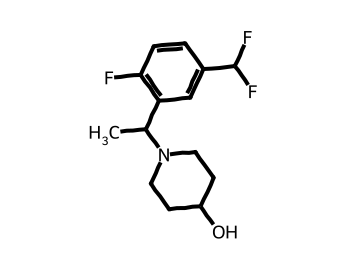 CC(c1cc(C(F)F)ccc1F)N1CCC(O)CC1